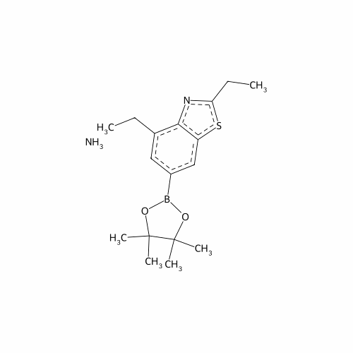 CCc1nc2c(CC)cc(B3OC(C)(C)C(C)(C)O3)cc2s1.N